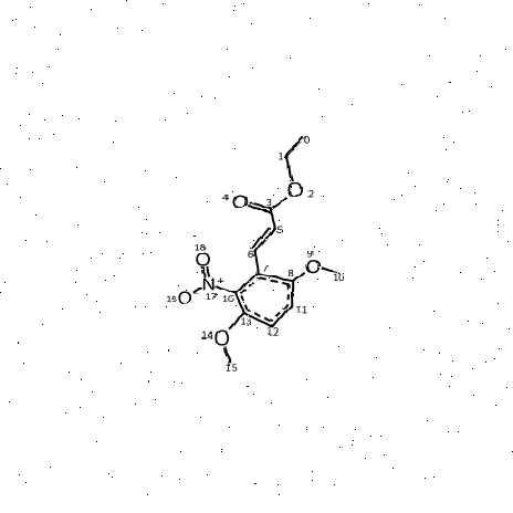 CCOC(=O)C=Cc1c(OC)ccc(OC)c1[N+](=O)[O-]